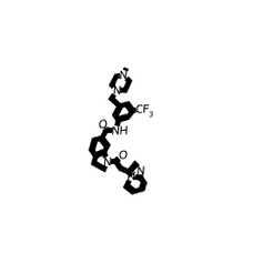 CN1CCN(Cc2cc(NC(=O)c3ccc4c(c3)N(C(=O)Cc3cnc5ccccn35)CC4)cc(C(F)(F)F)c2)CC1